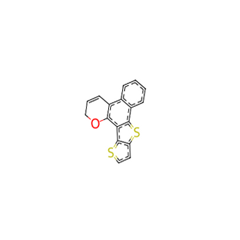 C1=Cc2c(c3c4sccc4sc3c3ccccc23)OC1